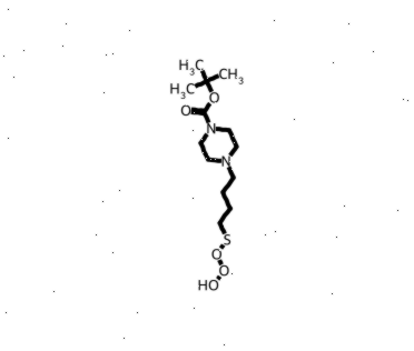 CC(C)(C)OC(=O)N1CCN(CCCCSOOO)CC1